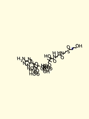 CC(C)(COP(=O)(O)OP(=O)(O)OC[C@H]1O[C@@H](n2cnc3c(N)ncnc32)[C@H](O)[C@@H]1OP(=O)(O)O)[C@@H](O)C(=O)NCCC(=O)NCCSC(=O)/C=C/CO